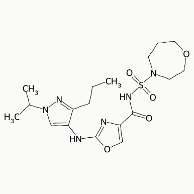 CCCc1nn(C(C)C)cc1Nc1nc(C(=O)NS(=O)(=O)N2CCCOCC2)co1